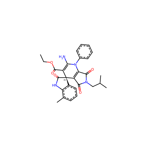 CCOC(=O)C1=C(N)N(c2ccccc2)C2=C(C(=O)N(CC(C)C)C2=O)[C@]12C(=O)Nc1c(C)cccc12